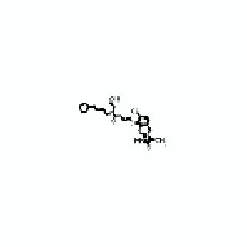 C=c1c(=O)[nH]c2n1Cc1ccc(Cl)c(OCCCC(=O)N(CCO)CCCCC3CCCC3)c1N=2